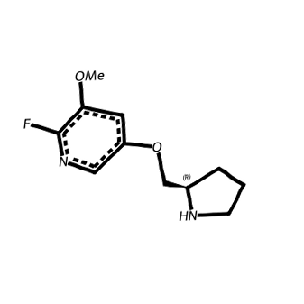 COc1cc(OC[C@H]2CCCN2)cnc1F